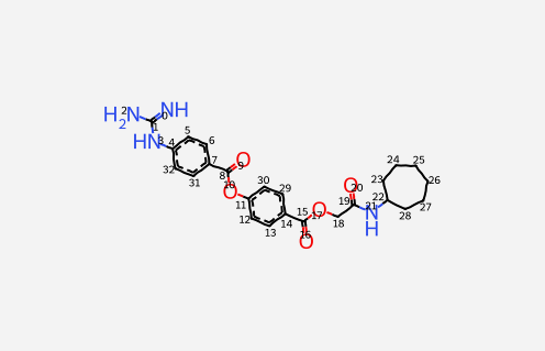 N=C(N)Nc1ccc(C(=O)Oc2ccc(C(=O)OCC(=O)NC3CCCCCC3)cc2)cc1